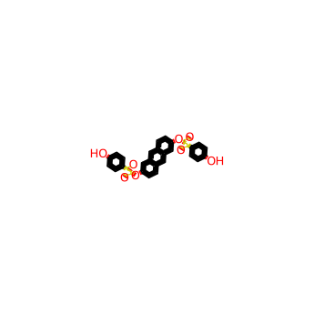 O=S(=O)(Oc1ccc2cc3cc(OS(=O)(=O)c4ccc(O)cc4)ccc3cc2c1)c1ccc(O)cc1